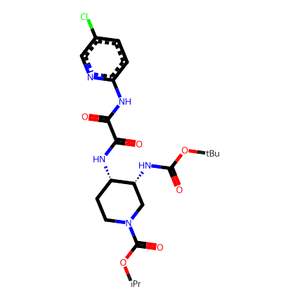 CC(C)OC(=O)N1CC[C@H](NC(=O)C(=O)Nc2ccc(Cl)cn2)[C@H](NC(=O)OC(C)(C)C)C1